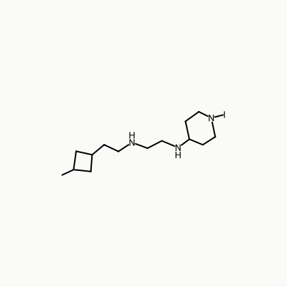 CC1CC(CCNCCNC2CCN(I)CC2)C1